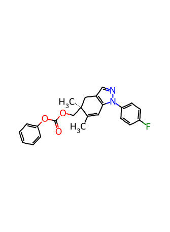 CC1=Cc2c(cnn2-c2ccc(F)cc2)C[C@]1(C)COC(=O)Oc1ccccc1